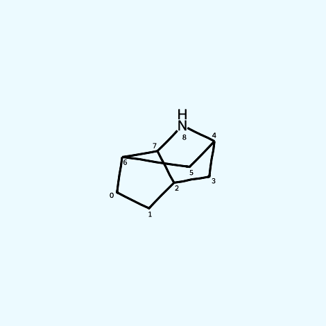 C1CC2CC3CC1C2N3